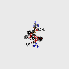 CCCOc1cc(N=C(C#N)C#N)sc1C1=CC2=C(c3sc4c(sc5cc(-c6sc(N=C(C#N)C#N)cc6OCCC)sc54)c3C2(C(=O)OCc2ccccc2)C(=O)OCc2ccccc2)C1(C(=O)OCc1ccccc1)C(=O)OCc1ccccc1